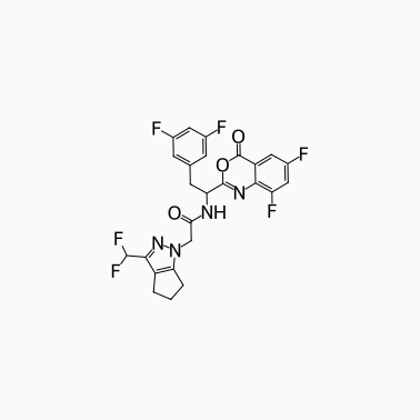 O=C(Cn1nc(C(F)F)c2c1CCC2)NC(Cc1cc(F)cc(F)c1)c1nc2c(F)cc(F)cc2c(=O)o1